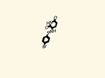 O=C1CCC(NSc2ccc(Br)cc2)C(=O)N1